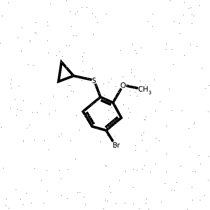 COc1cc(Br)ccc1SC1CC1